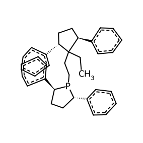 CCC1(CCP2[C@H](c3ccccc3)CC[C@H]2c2ccccc2)[C@H](c2ccccc2)CC[C@H]1c1ccccc1